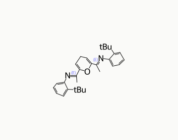 C/C(=N\c1ccccc1C(C)(C)C)C1=CCC=C(/C(C)=N/c2ccccc2C(C)(C)C)O1